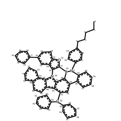 CCCCCc1ccc(N2B3c4oc5ccc(-c6ccccc6)cc5c4-n4c5c3c(cc(N(c3ccccc3)c3ccccc3)c5c3ccc5ccccc5c34)-c3ccccc32)cc1